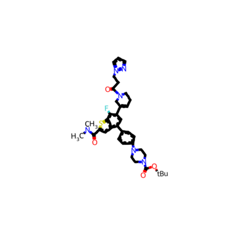 CN(C)C(=O)c1cc2c(-c3ccc(N4CCN(C(=O)OC(C)(C)C)CC4)cc3)cc(C3=CCCN(C(=O)CCn4cccn4)C3)c(F)c2s1